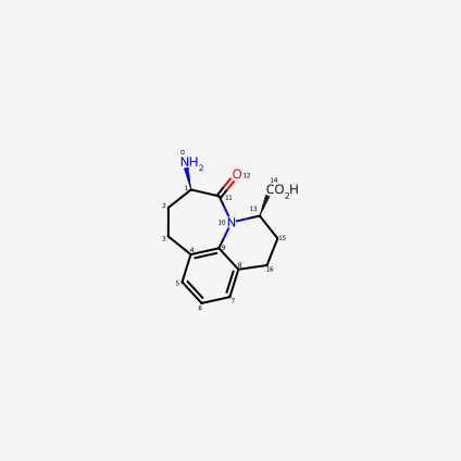 N[C@@H]1CCc2cccc3c2N(C1=O)[C@@H](C(=O)O)CC3